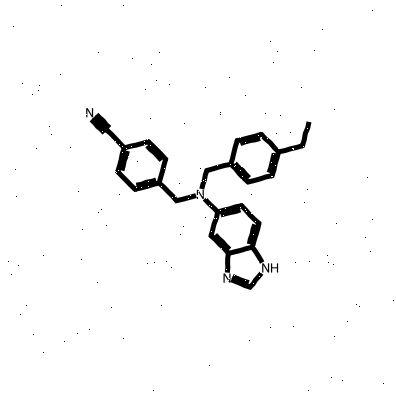 CCc1ccc(CN(Cc2ccc(C#N)cc2)c2ccc3[nH]cnc3c2)cc1